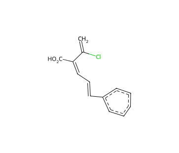 C=C(Cl)C(=CC=Cc1ccccc1)C(=O)O